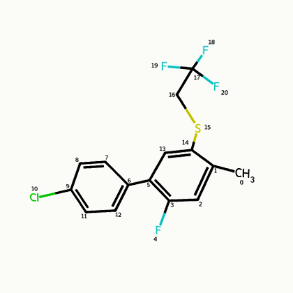 Cc1cc(F)c(-c2ccc(Cl)cc2)cc1SCC(F)(F)F